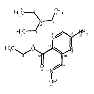 CCN(CC)CC.CCOC(=O)c1ncc(N)nc1C=NO